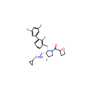 O=C(C1CCO1)N1C[C@H](F)[C@H](CNSC2CC2)[C@@H]1Cc1cccc(-c2cc(F)cc(F)c2)c1F